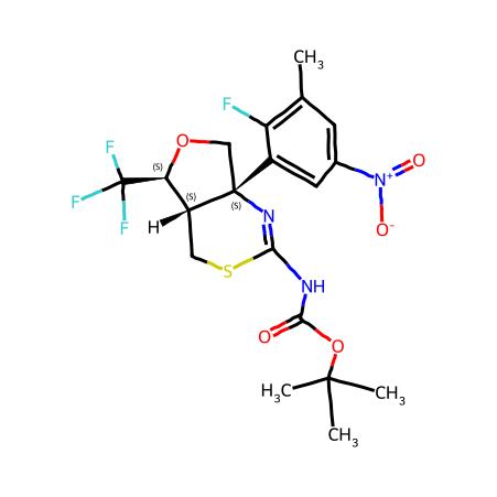 Cc1cc([N+](=O)[O-])cc([C@]23CO[C@H](C(F)(F)F)[C@H]2CSC(NC(=O)OC(C)(C)C)=N3)c1F